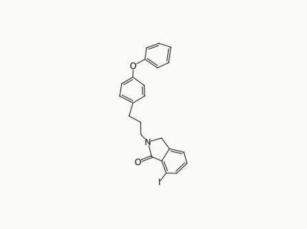 O=C1c2c(I)cccc2CN1CCCc1ccc(Oc2ccccc2)cc1